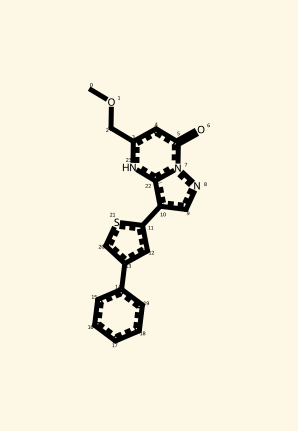 COCc1cc(=O)n2ncc(-c3cc(-c4ccccc4)cs3)c2[nH]1